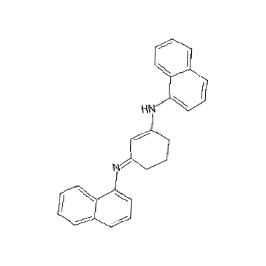 C1=C(Nc2cccc3ccccc23)CCC/C1=N\c1cccc2ccccc12